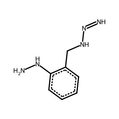 N=NNCc1ccccc1NN